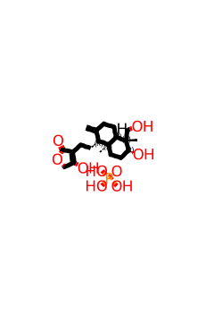 C=C1CC[C@@H]2[C@](C)(CO)[C@H](O)CC[C@@]2(C)[C@@H]1CCC1=C(O)COC1=O.O=P(O)(O)O